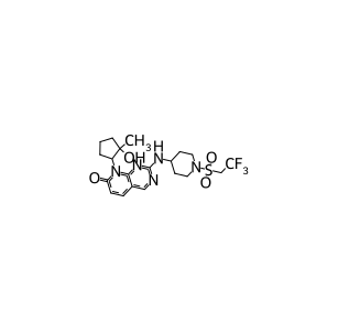 CC1(O)CCCC1n1c(=O)ccc2cnc(NC3CCN(S(=O)(=O)CC(F)(F)F)CC3)nc21